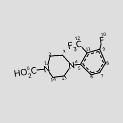 O=C(O)N1CCN(c2cccc(F)c2C(F)(F)F)CC1